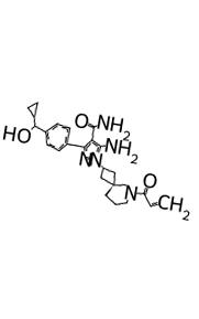 C=CC(=O)N1CCC[C@]2(C1)C[C@@H](n1nc(-c3ccc(C(O)C4CC4)cc3)c(C(N)=O)c1N)C2